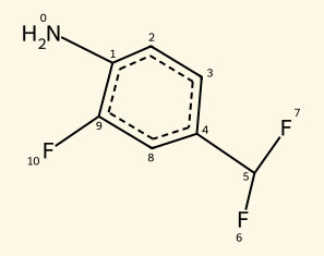 Nc1ccc(C(F)F)cc1F